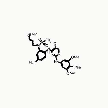 COc1cc(Nc2ncc(Cl)c(Nc3ccc(C)cc3N(CCCNC(C)=O)S(C)(=O)=O)n2)cc(OC)c1OC